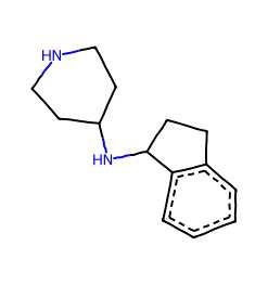 c1ccc2c(c1)CCC2NC1CCNCC1